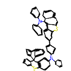 c1ccc(N(c2ccc(-c3ccc4c(c3)sc3cc5ccccc5c(N(c5ccccc5)c5ccccc5)c34)cc2)c2ccc3c(c2)C2(c4ccccc4S3)c3ccccc3-c3ccccc32)cc1